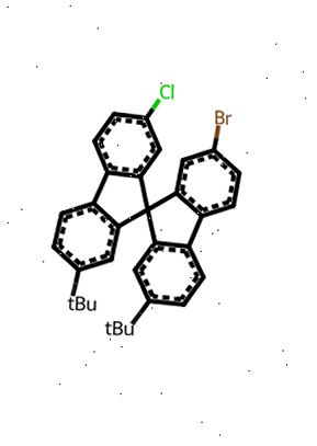 CC(C)(C)c1ccc2c(c1)C1(c3cc(Cl)ccc3-2)c2cc(Br)ccc2-c2ccc(C(C)(C)C)cc21